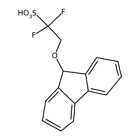 O=S(=O)(O)C(F)(F)COC1c2ccccc2-c2ccccc21